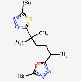 CC(CCC(C)(C)c1nnc(C(C)(C)C)s1)c1nnc(C(C)(C)C)o1